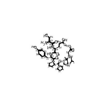 CC(C)C[C@H](NC(=O)[C@@H]1CCCN1C(=O)[C@@H]1CCCN1C(=O)[C@H](Cc1ccc(O)cc1)NC(=O)[C@H](CCC(=O)O)NC(=O)[C@@H](N)CO)C(=O)NCC(=O)O